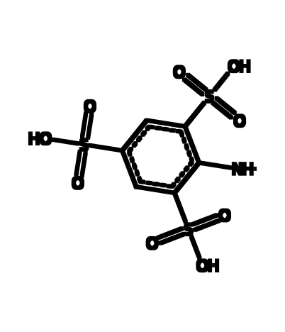 [NH]c1c(S(=O)(=O)O)cc(S(=O)(=O)O)cc1S(=O)(=O)O